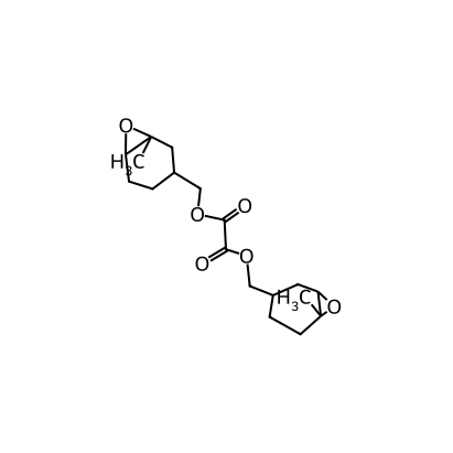 CC12CCC(COC(=O)C(=O)OCC3CCC4OC4(C)C3)CC1O2